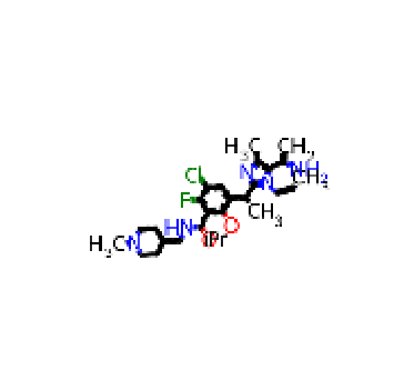 C=C(N)c1c(C)nc(C(C)c2cc(Cl)c(F)c(C(=O)NCC3CCN(C)CC3)c2OC(C)C)n1/C=C\C